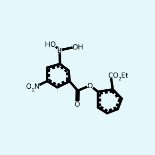 CCOC(=O)c1ccccc1OC(=O)c1cc(B(O)O)cc([N+](=O)[O-])c1